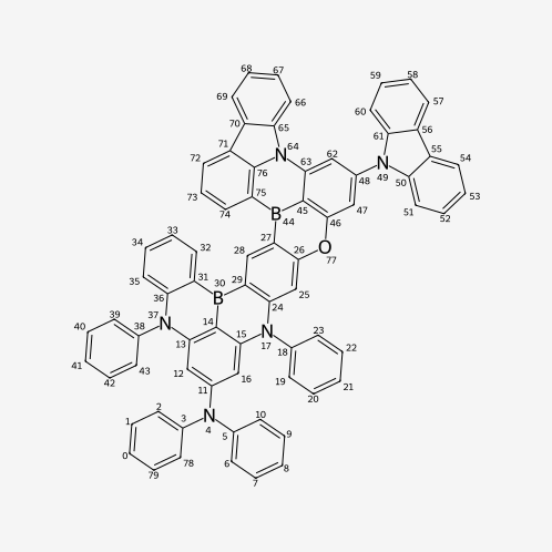 c1ccc(N(c2ccccc2)c2cc3c4c(c2)N(c2ccccc2)c2cc5c(cc2B4c2ccccc2N3c2ccccc2)B2c3c(cc(-n4c6ccccc6c6ccccc64)cc3-n3c4ccccc4c4cccc2c43)O5)cc1